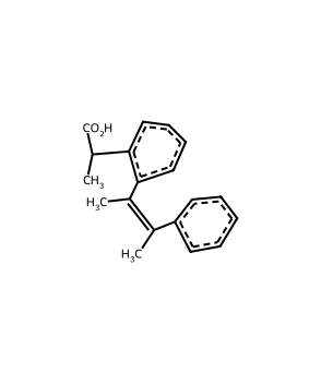 C/C(=C(\C)c1ccccc1C(C)C(=O)O)c1ccccc1